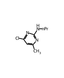 CCCNc1nc(C)cc(Cl)n1